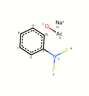 CC(=O)[O-].FN(F)c1ccccc1.[Na+]